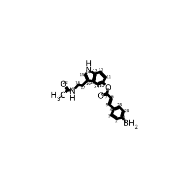 Bc1ccc(/C=C/C(=O)Oc2ccc3[nH]cc(CCNC(C)=O)c3c2)cc1